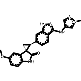 COc1ccc2c(c1)[C@]1(C[C@H]1c1ccc3c(Nc4cnn(C)c4)n[nH]c3c1)C(=O)N2